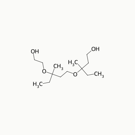 CCC(C)(CCO)OCCC(C)(CC)OCCO